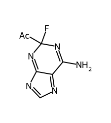 CC(=O)C1(F)N=C(N)C2=NC=NC2=N1